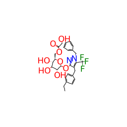 CCc1ccc(Cc2c(O[C@@H]3O[C@H](COC(=O)CO)[C@@H](O)[C@H](O)[C@H]3O)nn(Cc3ccccc3)c2C(F)(F)F)cc1